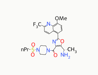 CCCS(=O)(=O)N1CCN(C(=O)c2nc(-c3ccc(OC)c4nc(C(F)(F)F)ccc34)oc2[C@H](C)N)CC1